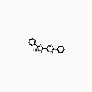 c1ccc(-c2ncc(-c3n[nH]c(-c4cccnc4)n3)cn2)cc1